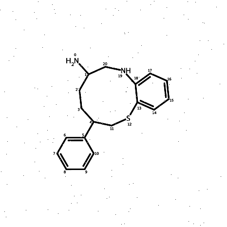 NC1CCC(c2ccccc2)CSc2ccccc2NC1